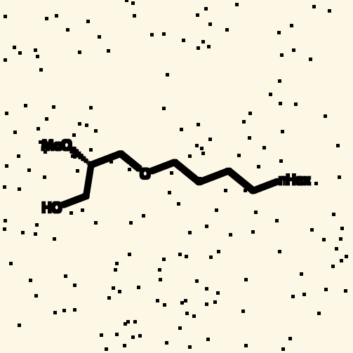 CCCCCCCCCCOC[C@H](CO)OC